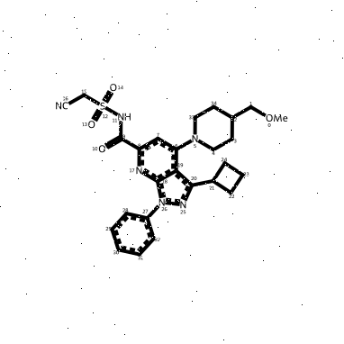 COCC1CCN(c2cc(C(=O)NS(=O)(=O)CC#N)nc3c2c(C2CCC2)nn3-c2ccccc2)CC1